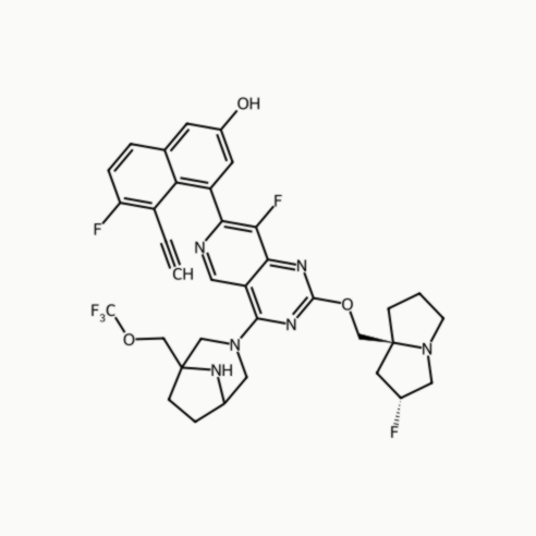 C#Cc1c(F)ccc2cc(O)cc(-c3ncc4c(N5CC6CCC(COC(F)(F)F)(C5)N6)nc(OC[C@@]56CCCN5C[C@H](F)C6)nc4c3F)c12